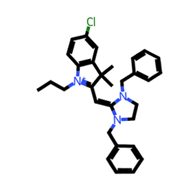 CCC[N+]1=C(C=C2N(Cc3ccccc3)CCN2Cc2ccccc2)C(C)(C)c2cc(Cl)ccc21